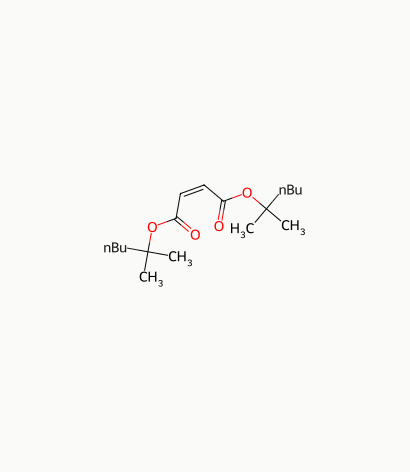 CCCCC(C)(C)OC(=O)/C=C\C(=O)OC(C)(C)CCCC